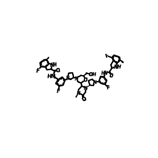 Cc1ccc(F)c2c1NC(C(=O)Nc1cc(F)cc(N3CC[C@@H](N4CC(C5CN(C)C(=O)CN5[C@@H]5CCN(c6cc(F)cc(NC(=O)C7Cc8c(F)ccc(C)c8N7)c6)C5)O[C@H](CO)C4)C3)c1)C2